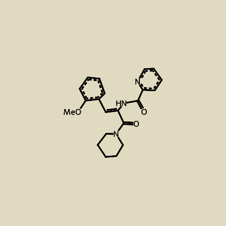 COc1ccccc1C=C(NC(=O)c1ccccn1)C(=O)N1CCCCC1